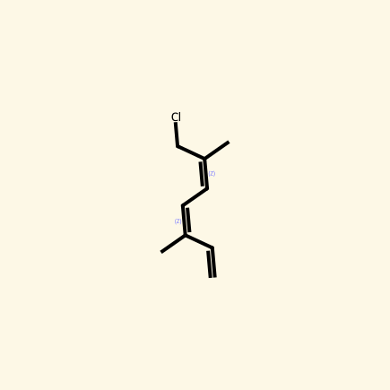 C=C/C(C)=C\C=C(\C)CCl